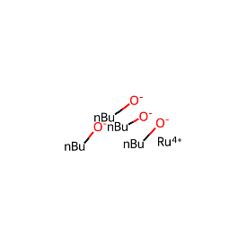 CCCC[O-].CCCC[O-].CCCC[O-].CCCC[O-].[Ru+4]